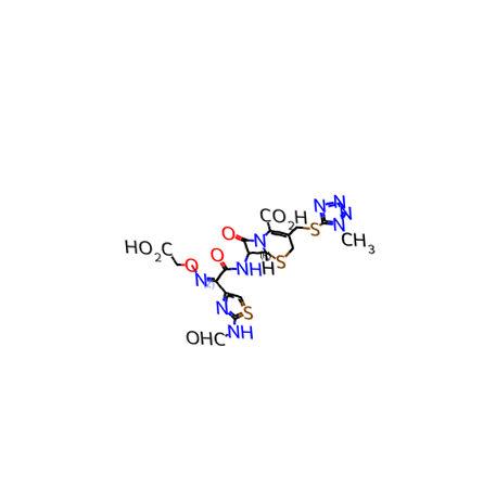 Cn1nnnc1SCC1=C(C(=O)O)N2C(=O)C(NC(=O)/C(=N\OCC(=O)O)c3csc(NC=O)n3)[C@H]2SC1